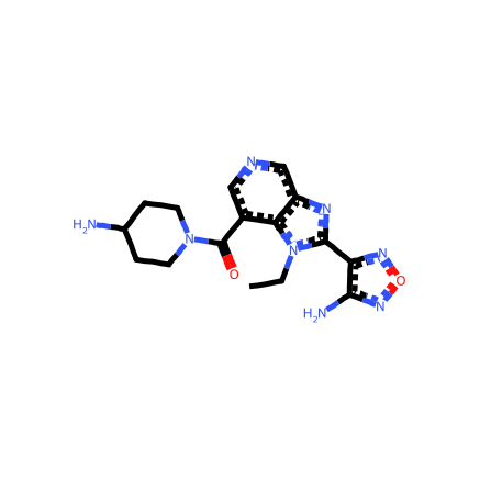 CCn1c(-c2nonc2N)nc2cncc(C(=O)N3CCC(N)CC3)c21